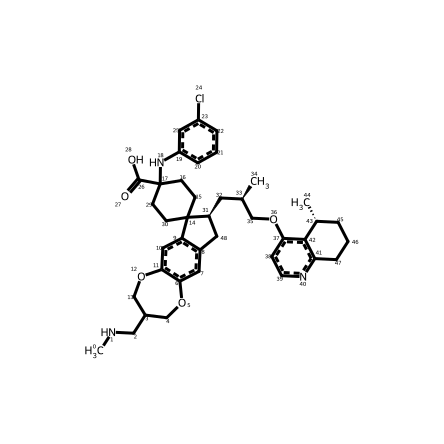 CNCC1COc2cc3c(cc2OC1)C1(CCC(Nc2cccc(Cl)c2)(C(=O)O)CC1)[C@@H](C[C@@H](C)COc1ccnc2c1[C@H](C)CCC2)C3